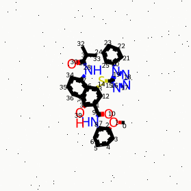 COc1ccccc1NC(=O)c1cc(Sc2nnnn2-c2ccccc2)c2c(NC(=O)C(C)C)cccc2c1O